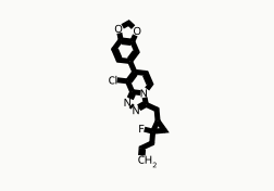 C=CCC1(F)CC1Cc1nnc2c(Cl)c(-c3ccc4c(c3)OCO4)ccn12